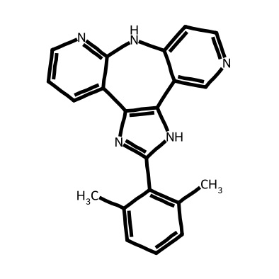 Cc1cccc(C)c1-c1nc2c([nH]1)-c1cnccc1Nc1ncccc1-2